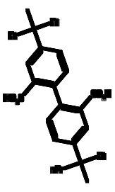 CCCC(C)(CC)c1ccc(-c2ccc(C(C)(CC)CC)cc2S(=O)(=O)O)c(S(=O)(=O)O)c1